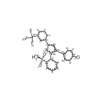 NS(=O)(=O)c1ccccc1-n1nc(-c2cccc(C(F)(F)F)c2)cc1-c1ccc(Cl)cc1